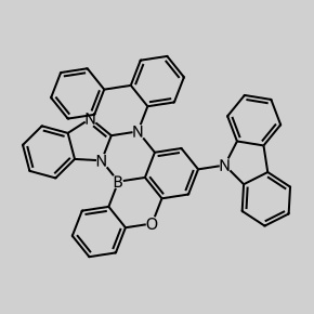 c1ccc(-c2ccccc2N2c3cc(-n4c5ccccc5c5ccccc54)cc4c3B(c3ccccc3O4)n3c2nc2ccccc23)cc1